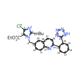 CCCCc1nc(Cl)c(C(=O)OCC)n1Cc1ccc2nc(-c3ccccc3-c3nnn[nH]3)ccc2c1